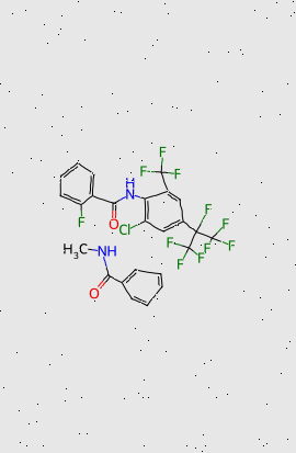 CNC(=O)c1ccccc1.O=C(Nc1c(Cl)cc(C(F)(C(F)(F)F)C(F)(F)F)cc1C(F)(F)F)c1ccccc1F